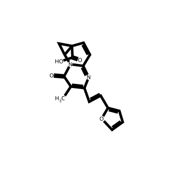 Cc1c(/C=C/c2ccco2)nc2n(c1=O)C1CC1(C(=O)O)C=C2